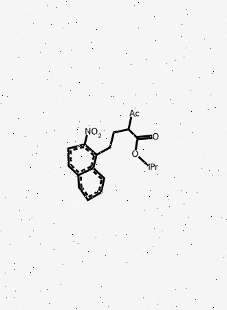 CC(=O)C(CCc1c([N+](=O)[O-])ccc2ccccc12)C(=O)OC(C)C